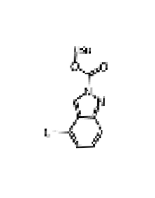 CC(C)(C)OC(=O)n1cc2c(Cl)cccc2n1